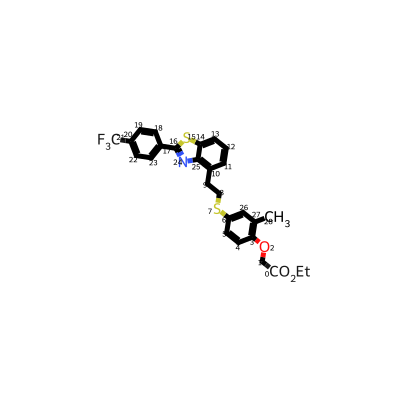 CCOC(=O)COc1ccc(SCCc2cccc3sc(-c4ccc(C(F)(F)F)cc4)nc23)cc1C